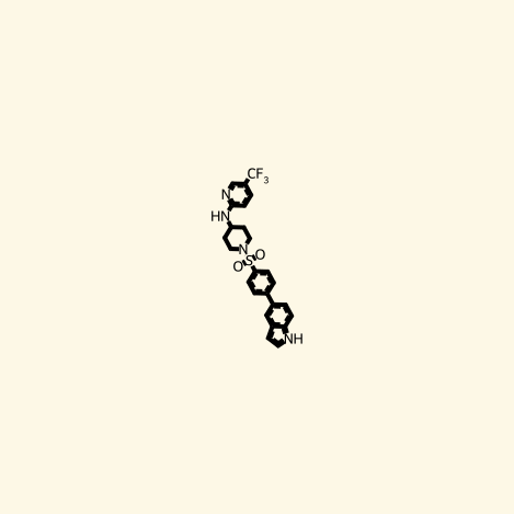 O=S(=O)(c1ccc(-c2ccc3[nH]ccc3c2)cc1)N1CCC(Nc2ccc(C(F)(F)F)cn2)CC1